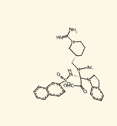 CC(=O)N(C[C@H]1CCCN(C(=N)N)C1)[C@](NS(=O)(=O)c1ccc2ccccc2c1)(C(=O)C=O)N1CCc2ccccc21